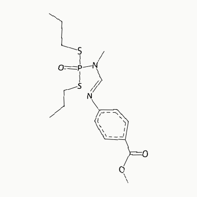 CCCSP(=O)(SCCC)N(C)C=Nc1ccc(C(=O)OC)cc1